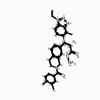 CCn1nnc2c(C)c([C@H](c3ccc4c(c3)CN(C(=O)c3ccc(C)c(C)c3)CC4)[C@H](C)C(=O)ON)ccc21